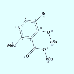 CCCCOC(=O)c1c(OC)ncc(Br)c1OCCCC